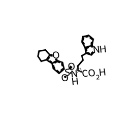 O=C(O)[C@H](CCCc1c[nH]c2ccccc12)NS(=O)(=O)c1ccc2c3c(oc2c1)CCCC3